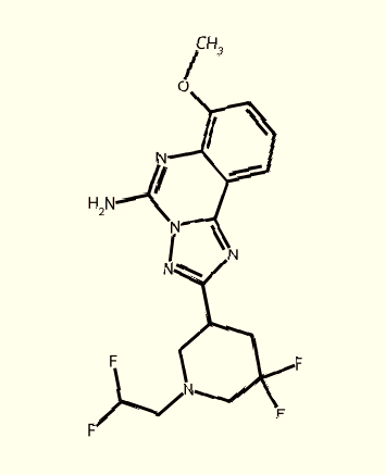 COc1cccc2c1nc(N)n1nc(C3CN(CC(F)F)CC(F)(F)C3)nc21